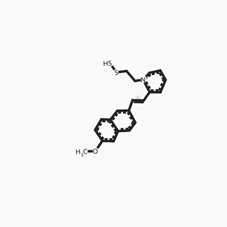 COc1ccc2cc(/C=C/c3cccc[n+]3CCSS)ccc2c1